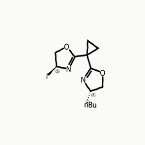 CCCC[C@H]1COC(C2(C3=N[C@@H](I)CO3)CC2)=N1